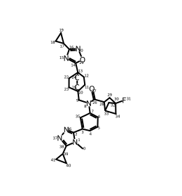 Cn1c(-c2cccc(N(CC34CCC(c5nc(C6CC6)no5)(CC3)CC4)C(=O)C3CC4(F)CC3C4)c2)nnc1C1CC1